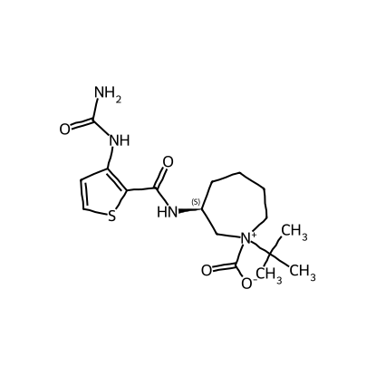 CC(C)(C)[N+]1(C(=O)[O-])CCCC[C@H](NC(=O)c2sccc2NC(N)=O)C1